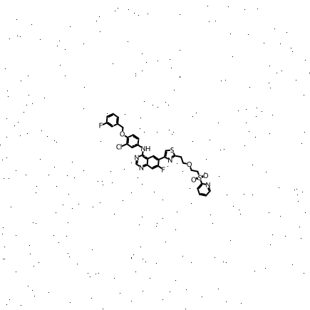 O=S(=O)(CCOCCc1nc(-c2cc3c(Nc4ccc(OCc5cccc(F)c5)c(Cl)c4)ncnc3cc2F)cs1)c1ccccn1